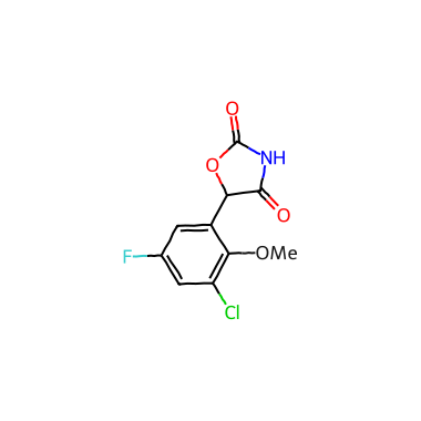 COc1c(Cl)cc(F)cc1C1OC(=O)NC1=O